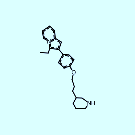 CCc1c(-c2ccc(OCCCC3CCCNC3)cc2)cc2ccccn12